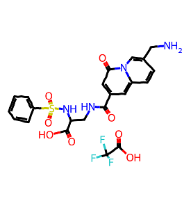 NCc1ccc2cc(C(=O)NCC(NS(=O)(=O)c3ccccc3)C(=O)O)cc(=O)n2c1.O=C(O)C(F)(F)F